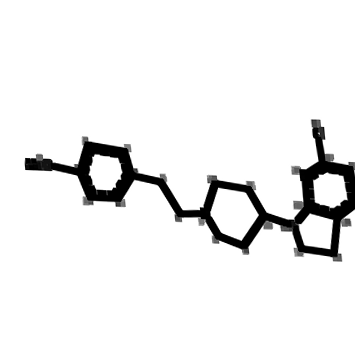 COc1ccc(CCN2CCC(N3CCc4ccc(Cl)nc43)CC2)cc1